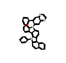 c1ccc(-c2cc3nccnc3cc2-n2c3ccccc3c3c2ccc2c4c5ccccc5ccc4n(-c4ccccc4)c23)cc1